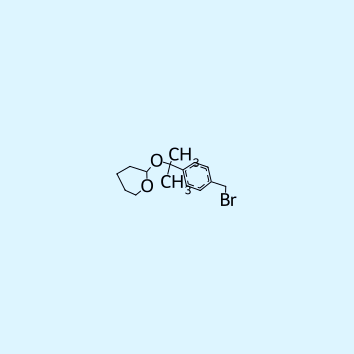 CC(C)(OC1CCCCO1)c1ccc(CBr)cc1